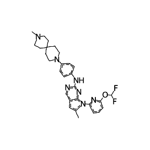 Cc1cc2cnc(Nc3ccc(N4CCC5(CCN(C)CC5)CC4)cc3)nc2n1-c1cccc(OC(F)F)n1